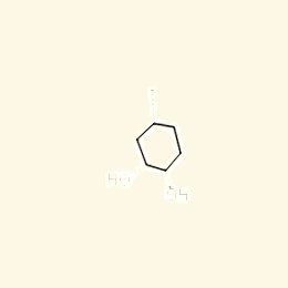 C[C@@H]1CC[C@H](O)[C@H](O)C1